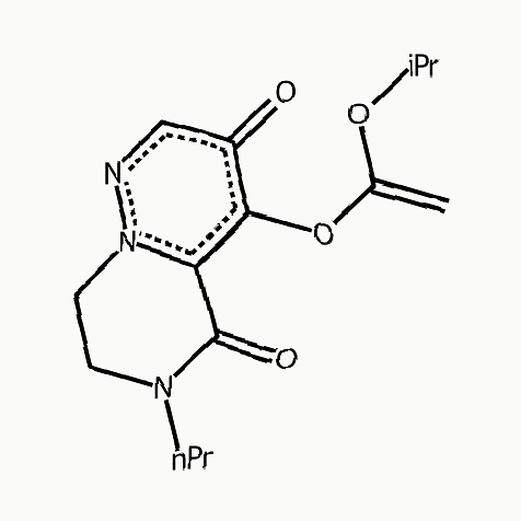 C=C(Oc1c2n(ncc1=O)CCN(CCC)C2=O)OC(C)C